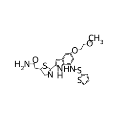 COCCOc1cc(NSc2cccs2)c2[nH]c(C3=NCC(CC(N)=O)S3)cc2c1